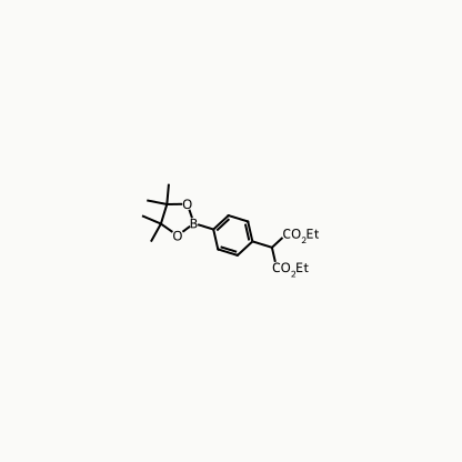 CCOC(=O)C(C(=O)OCC)c1ccc(B2OC(C)(C)C(C)(C)O2)cc1